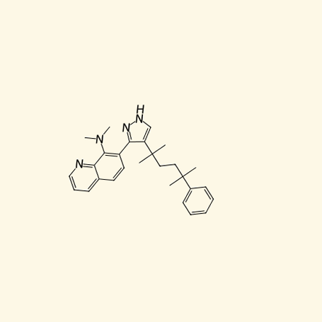 CN(C)c1c(-c2n[nH]cc2C(C)(C)CCC(C)(C)c2ccccc2)ccc2cccnc12